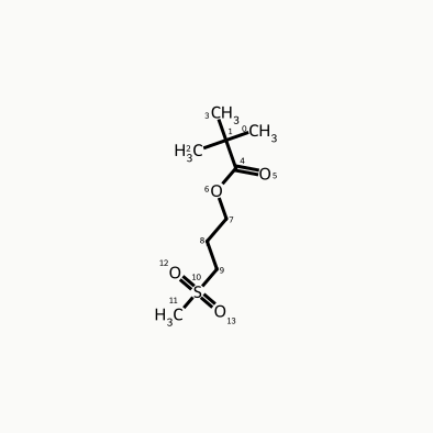 CC(C)(C)C(=O)OC[CH]CS(C)(=O)=O